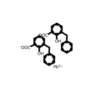 O=C([O-])c1cccc(Cc2ccccc2)c1O.O=C([O-])c1cccc(Cc2ccccc2)c1O.[Pb+2]